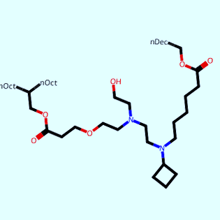 CCCCCCCCCCCOC(=O)CCCCCN(CCN(CCO)CCOCCC(=O)OCC(CCCCCCCC)CCCCCCCC)C1CCC1